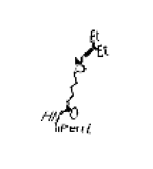 CCCCCNC(=O)CCCCCON=C(CC)CC